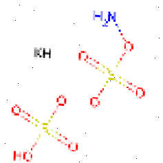 NOS(=O)(=O)OOS(=O)(=O)O.[KH]